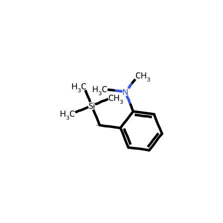 CN(C)c1ccccc1[CH][Si](C)(C)C